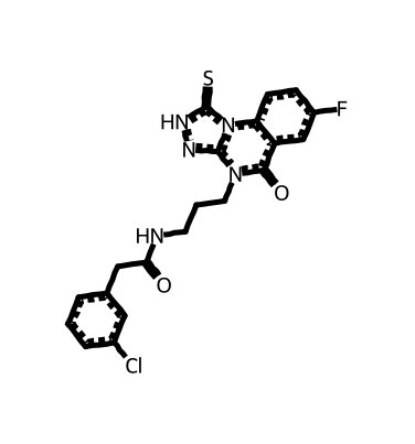 O=C(Cc1cccc(Cl)c1)NCCCn1c(=O)c2cc(F)ccc2n2c(=S)[nH]nc12